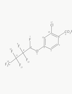 O=C(O)c1ccc(OC(F)C(F)(F)C(F)(F)C(F)(F)F)cc1Cl